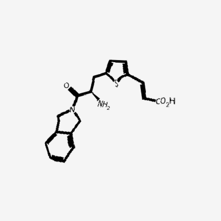 N[C@H](Cc1ccc(C=CC(=O)O)s1)C(=O)N1Cc2ccccc2C1